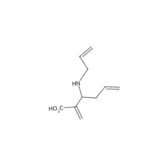 C=CCNC(CC=C)C(=C)C(=O)O